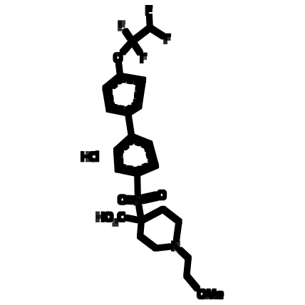 COCCN1CCC(C(=O)O)(S(=O)(=O)c2ccc(-c3ccc(OC(F)(F)C(F)F)cc3)cc2)CC1.Cl